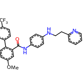 COc1ccc(-c2ccc(C(F)(F)F)cc2)c(C(=O)Nc2ccc(NCCc3ccccn3)cc2)c1